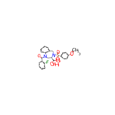 COc1ccc(S(=O)(=O)N2Cc3ccccc3N(C(=O)c3ccccc3F)CC2C(=O)O)cc1